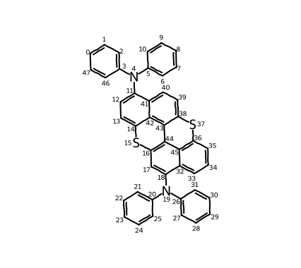 c1ccc(N(c2ccccc2)c2ccc3sc4cc(N(c5ccccc5)c5ccccc5)c5cccc6sc7ccc2c3c7-c4c65)cc1